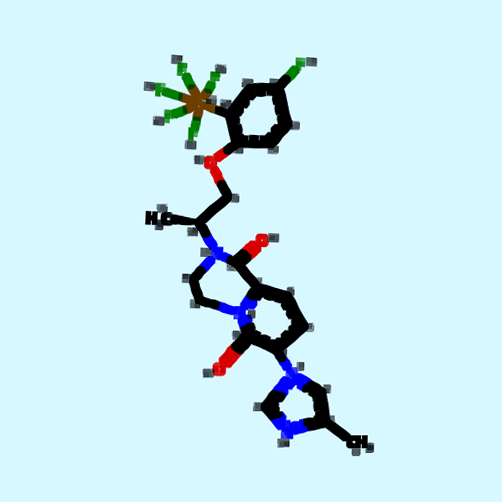 Cc1cn(-c2ccc3n(c2=O)CCN([C@@H](C)COc2ccc(F)cc2S(F)(F)(F)(F)F)C3=O)cn1